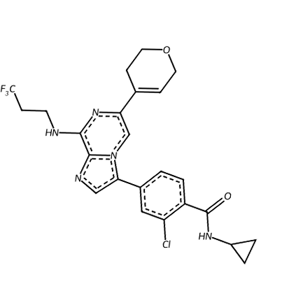 O=C(NC1CC1)c1ccc(-c2cnc3c(NCCC(F)(F)F)nc(C4=CCOCC4)cn23)cc1Cl